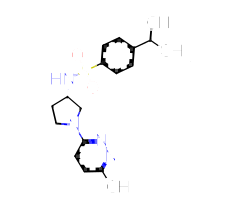 Cc1ccc(N2CC[C@H](NS(=O)(=O)c3ccc(C(C)C)cc3)C2)nn1